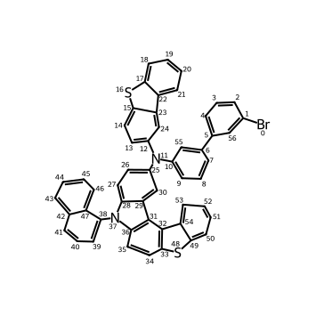 Brc1cccc(-c2cccc(N(c3ccc4sc5ccccc5c4c3)c3ccc4c(c3)c3c5c(ccc3n4-c3cccc4ccccc34)sc3ccccc35)c2)c1